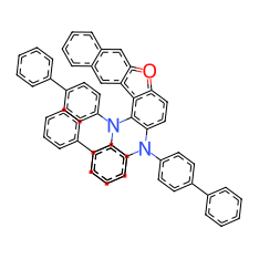 c1ccc(-c2ccc(N(c3ccccc3)c3ccc4oc5cc6ccccc6cc5c4c3N(c3ccc(-c4ccccc4)cc3)c3ccccc3-c3ccccc3)cc2)cc1